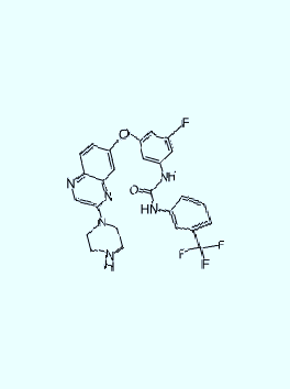 O=C(Nc1cc(F)cc(Oc2ccc3ncc(N4CCNCC4)nc3c2)c1)Nc1cccc(C(F)(F)F)c1